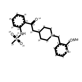 COc1ncccc1CN1CCC(CC(=O)c2ccccc2NS(C)(=O)=O)CC1